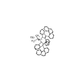 C[Si](C)=[Zr+2]([CH]1C(c2ccco2)=C(c2cccc3ccc4ccccc4c23)c2ccccc21)[CH]1C(c2ccco2)=C(c2cccc3ccc4ccccc4c23)c2ccccc21.[Cl-].[Cl-]